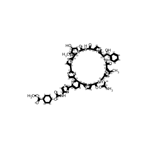 COC(=O)[C@H]1CC[C@H](OC(=O)Nc2csc(-c3ccc4c(n3)-c3csc(n3)-c3csc(n3)[C@@H]3[C@@H](C)[C@@H](O)CN3C(=O)NC(=O)c3csc(n3)[C@H]([C@H](O)c3ccccc3)NC(=O)c3nc(sc3C)[C@H](CC(N)=O)NC(=O)c3csc-4n3)n2)CC1